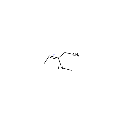 C/C=C(/CN)NC